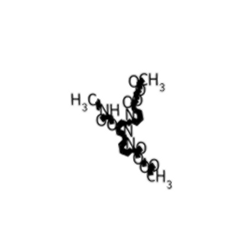 CCCNC(=O)COc1cc(-c2cccc(C(=O)OCOC(C)=O)n2)nc(-c2cccc(C(=O)OCOC(C)=O)n2)c1